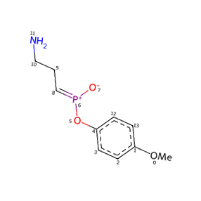 COc1ccc(O/[P+]([O-])=C/CCN)cc1